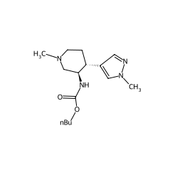 CCCCOC(=O)N[C@H]1CN(C)CC[C@@H]1c1cnn(C)c1